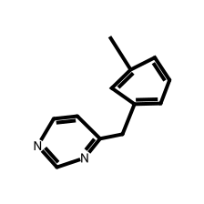 Cc1cccc(Cc2ccncn2)c1